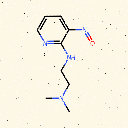 CN(C)CCNc1ncccc1N=O